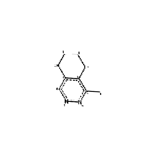 Cc1nncc2c1CCCC2